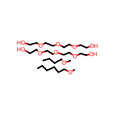 CCCCCCOC.CCCCOC.OCCOCCOCCOCCO.OCCOCCOCCOCCO